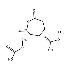 COC(=O)O.COC(=O)O.O=C1CCCCC(=O)O1